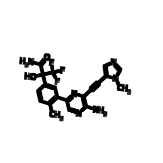 Cc1ccc(C(O)(C(N)=O)C(F)(F)F)cc1-c1cnc(N)c(C#Cc2cncn2C)n1